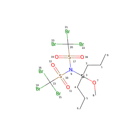 CCC[Si](CCC)(OC)N(S(=O)(=O)C(Br)(Br)Br)S(=O)(=O)C(Br)(Br)Br